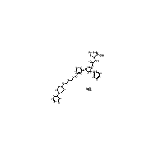 CC(C)C[C@H](NC(=O)Cn1nc(-c2cccc(OCCCCCN3CCN(c4ccccc4)CC3)c2)cc1-c1ccccc1)B(O)O.Cl.Cl